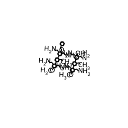 CCc1cc(-c2c(CCN)cc(OC)cc2CCN)ccc1-c1cc(CCN)c(O)c(CCN)c1.CCc1cc(-c2c(CCN)cc(OC)cc2CCN)ccc1-c1cc(CCN)c(OCc2ccccc2)c(CCN)c1